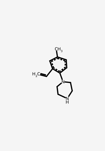 C=Cc1cc(C)ccc1N1CCNCC1